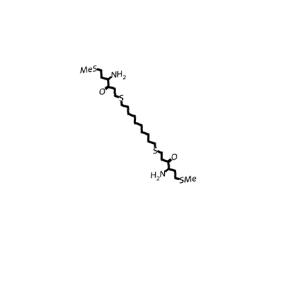 CSCCC(N)C(=O)CCSCCCCCCCCCCSCCC(=O)C(N)CCSC